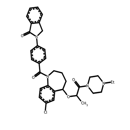 CCN1CCN(C(=O)C(C)OC2CCCN(C(=O)c3ccc(N4Cc5ccccc5C4=O)cc3)c3ccc(Cl)cc32)CC1